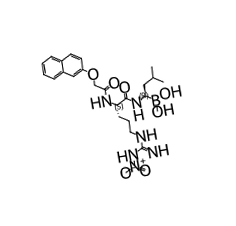 CC(C)C[C@H](NC(=O)[C@H](CCCNC(=N)N[N+](=O)[O-])NC(=O)COc1ccc2ccccc2c1)B(O)O